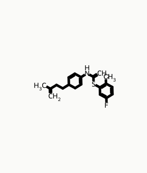 C=C(C)CCC1C=CC(NC(=C)Sc2cc(F)ccc2C)=CC1